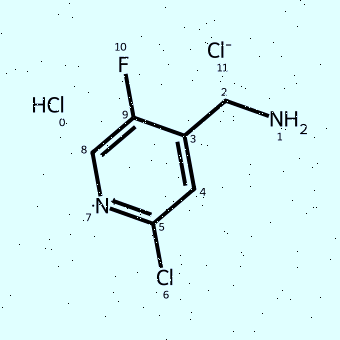 Cl.NCC1=CC(Cl)=[N+]C=C1F.[Cl-]